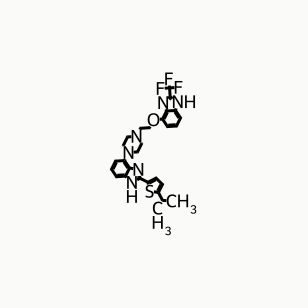 CC(C)c1ccc(-c2nc3c(N4CCN(CCOc5cccc6[nH]c(C(F)(F)F)nc56)CC4)cccc3[nH]2)s1